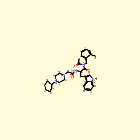 CC(=O)N(Cc1ccccc1C)C(=O)C(Cc1c[nH]c2ccccc12)NC(=O)CN1CCN(C2CCCCC2)CC1